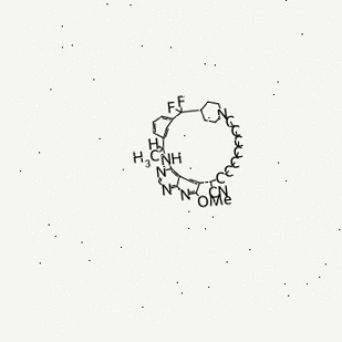 COc1nc2ncnc3c2cc1C(C#N)CCCCCCCN1CCC(CC1)C(F)(F)c1cccc(c1)[C@@H](C)N3